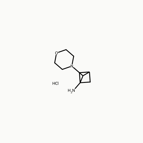 Cl.NC12CC(C1)C2N1CCOCC1